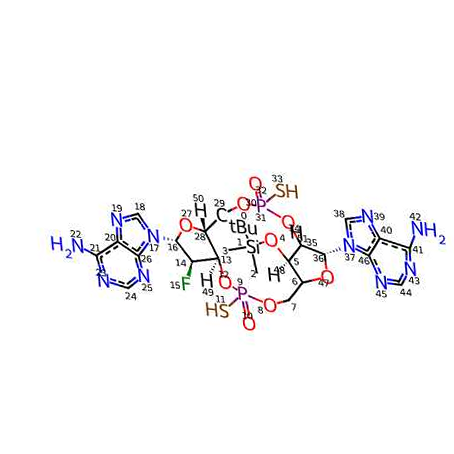 CC(C)(C)[Si](C)(C)O[C@@H]1C2COP(=O)(S)O[C@H]3[C@@H](F)[C@H](n4cnc5c(N)ncnc54)O[C@@H]3COP(=O)(S)O[C@H]1[C@H](n1cnc3c(N)ncnc31)O2